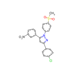 CS(=O)(=O)c1ccc(-n2nc(-c3ccc(Cl)cc3)cc2-c2cccc([N+](=O)[O-])c2)cc1